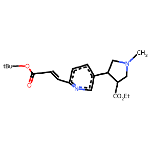 CCOC(=O)C1CN(C)CC1c1ccc(/C=C/C(=O)OC(C)(C)C)nc1